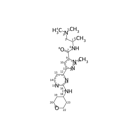 CC(CN(C)C)NC(=O)c1cc(-c2ccnc(NC3CCOCC3)n2)nn1C